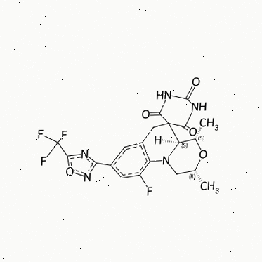 C[C@@H]1CN2c3c(F)cc(-c4noc(C(F)(F)F)n4)cc3CC3(C(=O)NC(=O)NC3=O)[C@H]2[C@H](C)O1